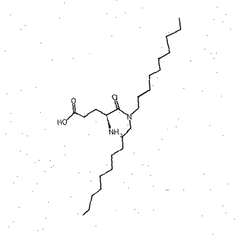 CCCCCCCCCCN(CCCCCCCCCC)C(=O)[C@@H](N)CCC(=O)O